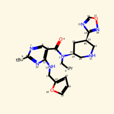 CC(C)CN(C(=O)c1cnc(C(C)(C)C)nc1NCc1ccco1)[C@@H]1CNC[C@H](c2ncon2)C1